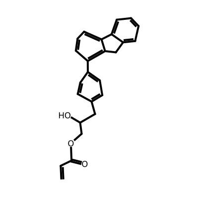 C=CC(=O)OCC(O)Cc1ccc(-c2cccc3c2Cc2ccccc2-3)cc1